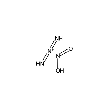 N=[N+]=N.O=NO